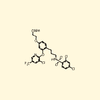 COCCOc1ccc(CCCNS(=O)(=O)c2ccc(Cl)cc2Cl)c(Oc2ncc(C(F)(F)F)cc2Cl)c1